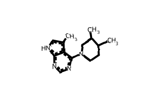 Cc1c[nH]c2ncnc(N3CCC(C)C(C)C3)c12